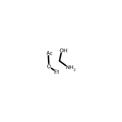 CCOC(C)=O.NCO